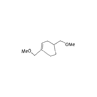 COCC1=CCC(COC)CC1